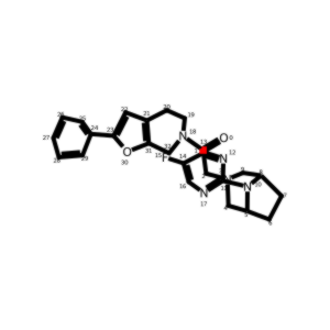 O=C(CN1CC2CCC(C1)N2c1ncc(F)cn1)N1CCc2cc(-c3ccccc3)oc2C1